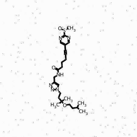 CC(C)CCOC(C)(C)CCn1cc(CNC(=O)CCCC#Cc2cnc([S+](C)[O-])nc2)nn1